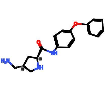 NC[C@H]1CN[C@H](C(=O)Nc2ccc(Oc3ccccc3)cc2)C1